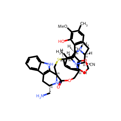 COc1c(C)cc2c(c1O)[C@@H]1[C@@H]3[C@@H]4SC[C@]5(N[C@H](CN)Cc6c5[nH]c5ccccc65)C(=O)OC[C@@H](c5c6c(c(C)c(C)c54)OCO6)N3[C@@H](C#N)[C@H](C2)N1C